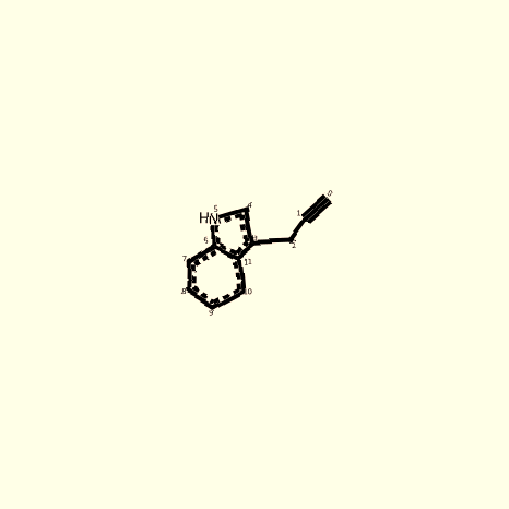 C#C[CH]c1c[nH]c2ccccc12